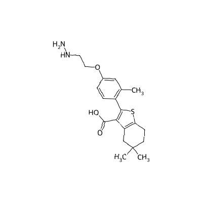 Cc1cc(OCCNN)ccc1-c1sc2c(c1C(=O)O)CC(C)(C)CC2